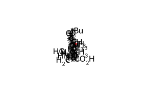 C=C(CNCCO)[C@@H]1CC[C@]2(C(=O)O)CC[C@]3(C)[C@H](CC[C@@H]4[C@@]5(C)CC=C(c6ccc(C(=O)OC(C)(C)C)cc6)C(C)(C)[C@@H]5CC[C@]43C)[C@@H]12